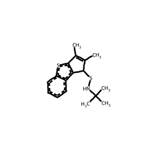 CC1=C(C)C(SNC(C)(C)C)c2c1sc1ccccc21